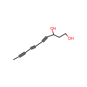 CC#CC#CC#CC(O)CCO